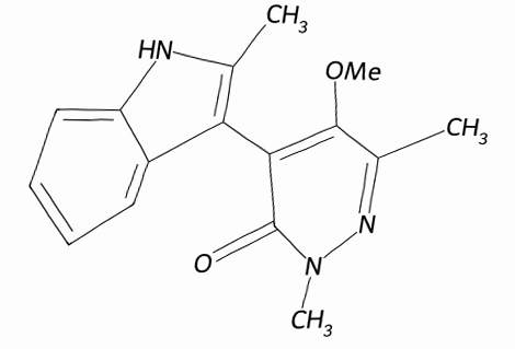 COc1c(C)nn(C)c(=O)c1-c1c(C)[nH]c2ccccc12